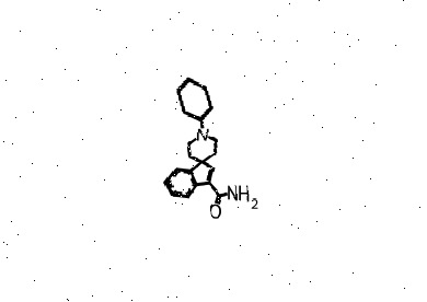 NC(=O)C1=CC2(CCN(C3CCCCC3)CC2)c2ccccc21